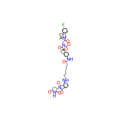 C[C@H](N(Cc1ccc(F)cc1)C(=O)CN1C(=O)O[C@@]2(CCc3cc(NC(=O)CCCCCCCNc4cccc5c4C(=O)N(C4CCC(=O)NC4=O)C5=O)ccc32)C1=O)C(F)(F)F